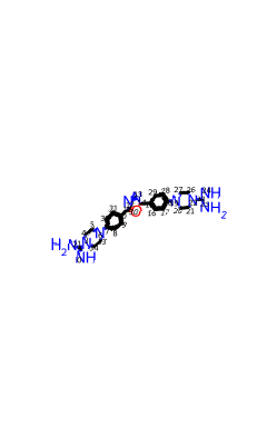 N=C(N)N1CCN(c2ccc(-c3nnc(-c4ccc(N5CCN(C(=N)N)CC5)cc4)o3)cc2)CC1